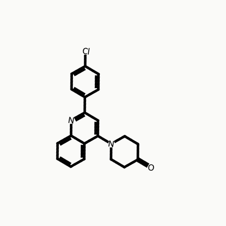 O=C1CCN(c2cc(-c3ccc(Cl)cc3)nc3ccccc23)CC1